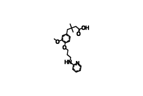 COc1cc(CC(C)(C)CC(=O)O)ccc1OCCCNc1ccccn1